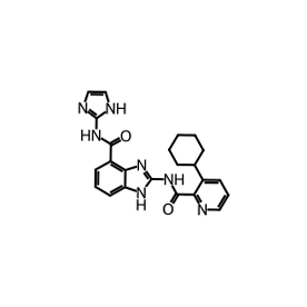 O=C(Nc1nc2c(C(=O)Nc3ncc[nH]3)cccc2[nH]1)c1ncccc1C1CCCCC1